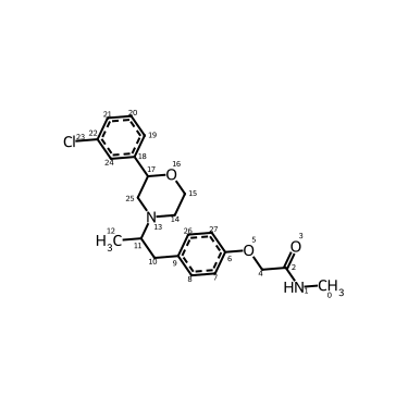 CNC(=O)COc1ccc(CC(C)N2CCOC(c3cccc(Cl)c3)C2)cc1